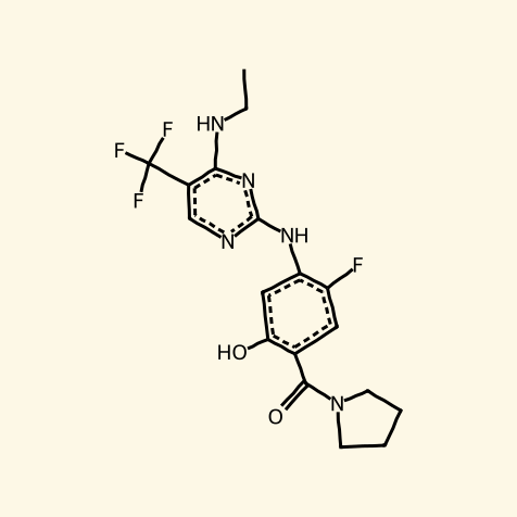 CCNc1nc(Nc2cc(O)c(C(=O)N3CCCC3)cc2F)ncc1C(F)(F)F